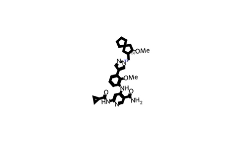 COc1c(Nc2cc(NC(=O)C3CC3)ncc2C(N)=O)cccc1C1=C/[N+](=C/C2CC3(CCCC3)C[C@@H]2OC)N=C1